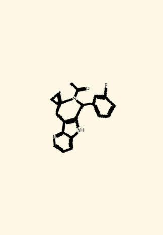 CC(=O)N1C(c2cccc(F)c2)c2[nH]c3cccnc3c2CC12CC2